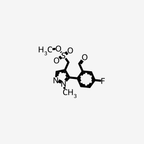 COS(=O)(=O)Cc1cnn(C)c1-c1ccc(F)cc1C=O